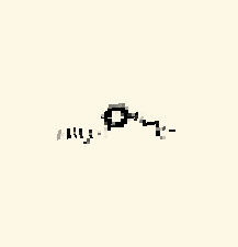 CCOC(=O)Oc1cccc(OCCO)c1